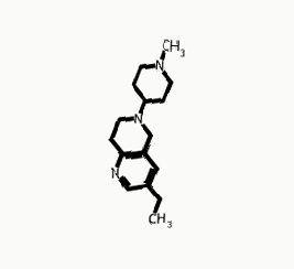 CCc1cnc2c(c1)CN(C1CCN(C)CC1)CC2